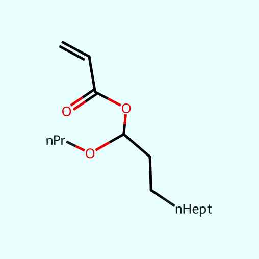 C=CC(=O)OC(CCCCCCCCC)OCCC